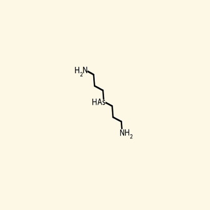 NCCC[AsH]CCCN